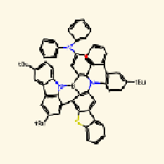 CC(C)(C)c1ccc(N2c3ccc(N(c4ccccc4)c4ccccc4)cc3B3c4c2cc2c(sc5ccccc52)c4-c2cc(C(C)(C)C)cc4c5cc(C(C)(C)C)ccc5n3c24)c(-c2ccccc2)c1